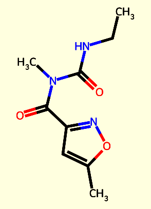 CCNC(=O)N(C)C(=O)c1cc(C)on1